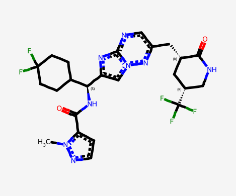 Cn1nccc1C(=O)N[C@H](c1cn2nc(C[C@H]3C[C@@H](C(F)(F)F)CNC3=O)cnc2n1)C1CCC(F)(F)CC1